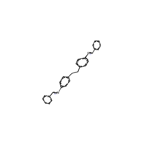 C(=N\c1ccc(CCc2ccc(/N=C/c3ccccc3)cc2)cc1)/c1ccccc1